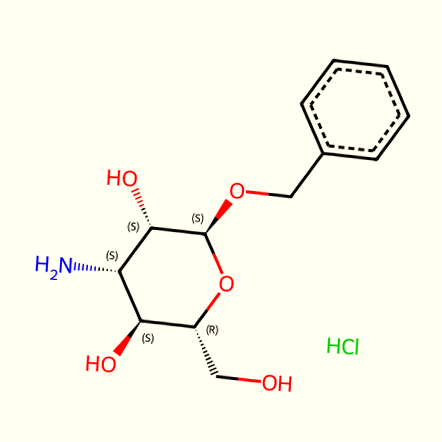 Cl.N[C@@H]1[C@H](O)[C@@H](OCc2ccccc2)O[C@H](CO)[C@H]1O